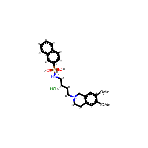 COc1cc2c(cc1OC)CN(CCCCNS(=O)(=O)c1ccc3ccccc3c1)CC2.Cl